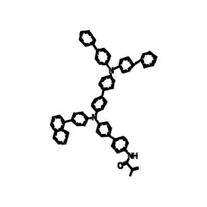 C=C(C)C(=O)Nc1ccc(-c2ccc(N(c3ccc(-c4ccc(N(c5ccc(-c6ccccc6)cc5)c5ccc(-c6ccccc6)cc5)cc4)cc3)c3ccc(-c4cccc5ccccc45)cc3)cc2)cc1